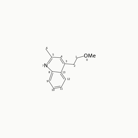 COCCc1cc(C)nc2ccccc12